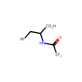 CC(C)CC(NC(=O)C(F)(F)F)C(=O)O